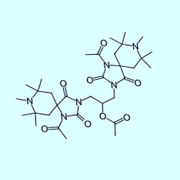 CC(=O)OC(CN1C(=O)N(C(C)=O)C2(CC(C)(C)N(C)C(C)(C)C2)C1=O)CN1C(=O)N(C(C)=O)C2(CC(C)(C)N(C)C(C)(C)C2)C1=O